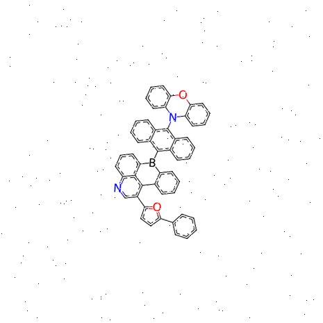 c1ccc(-c2ccc(-c3cnc4cccc5c4c3-c3ccccc3B5c3c4ccccc4c(N4c5ccccc5Oc5ccccc54)c4ccccc34)o2)cc1